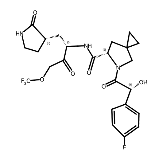 O=C1NCC[C@H]1C[C@H](NC(=O)[C@@H]1CC2(CC2)CN1C(=O)[C@H](O)c1ccc(F)cc1)C(=O)COC(F)(F)F